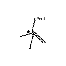 C=CCCCCCCCCCCCCCC(CC(CCCC)CCCCCCCCCC=CCCCCC)C(CCCCCCCCCCCC=C)C(CCCCCCCCCCC=C)C(=C)CCCCCCCCCCCCC=C